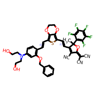 CC1(c2c(F)c(F)c(F)c(F)c2F)OC(=C(C#N)C#N)C(C#N)=C1/C=C/c1sc(/C=C/c2ccc(N(CCO)CCO)cc2OCc2ccccc2)c2c1OCCO2